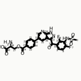 CS(=O)(=O)Nc1c(F)ccc(C(=O)c2n[nH]c3ncc(-c4ccc(C(=O)OC[C@H](N)C(=O)O)cc4)cc23)c1F